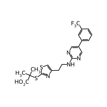 CC(C)(Sc1nc(CCNc2ncc(-c3cccc(C(F)(F)F)c3)cn2)cs1)C(=O)O